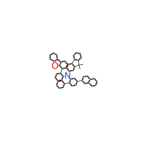 CC1(C)c2ccccc2-c2ccc(N(c3cc(-c4ccc5ccccc5c4)ccc3-c3ccccc3)c3ccccc3-c3cccc4c3oc3ccccc34)cc21